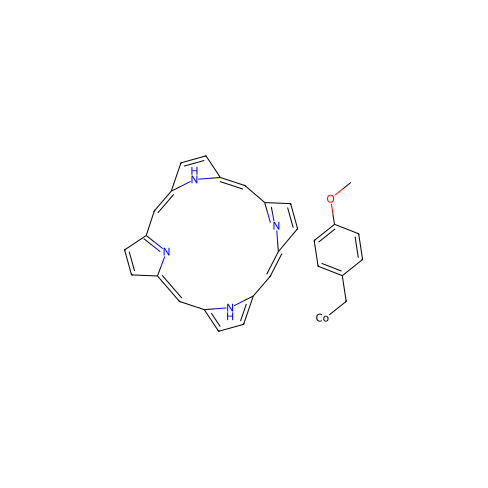 C1=Cc2cc3ccc(cc4nc(cc5ccc(cc1n2)[nH]5)C=C4)[nH]3.COc1ccc([CH2][Co])cc1